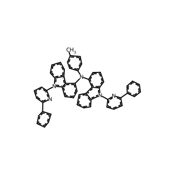 Cc1ccc(N(c2cccc3c2c2ccccc2n3-c2cccc(-c3ccccc3)n2)c2cccc3c2c2ccccc2n3-c2cccc(-c3ccccc3)n2)cc1